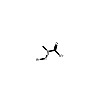 CCCC(=O)[SiH](C)OC(C)C